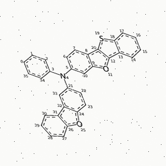 c1ccc(N(c2ccc3c(c2)oc2c4ccccc4sc32)c2ccc3oc4ccccc4c3c2)cc1